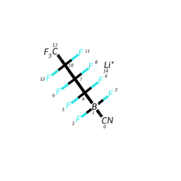 N#C[B-](F)(F)C(F)(F)C(F)(F)C(F)(F)C(F)(F)F.[Li+]